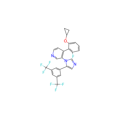 Fc1cccc(OC2CC2)c1-c1ccncc1-n1cncc1-c1cc(C(F)(F)F)cc(C(F)(F)F)c1